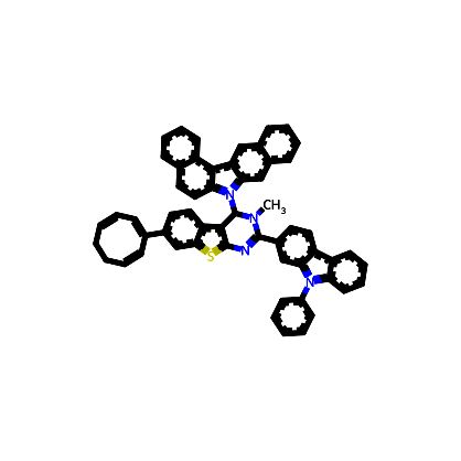 CN1C(c2ccc3c4ccccc4n(-c4ccccc4)c3c2)=Nc2sc3cc(C4=C/C=C\CC/C=C\4)ccc3c2C1n1c2cc3ccccc3cc2c2c3ccccc3ccc21